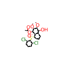 COc1c(OC)c(OC(C)=O)c2c([S+]([O-])c3c(Cl)cccc3Cl)cccc2c1O